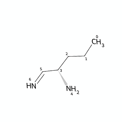 CCC[C@H](N)C=N